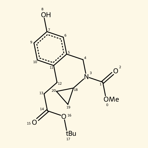 COC(=O)N(Cc1cc(O)ccc1CCC(=O)OC(C)(C)C)C1CC1